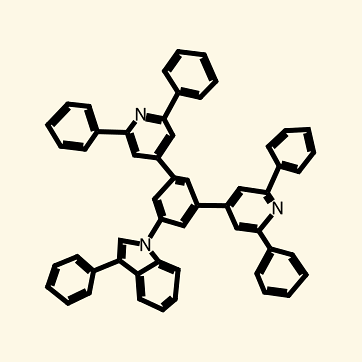 c1ccc(-c2cc(-c3cc(-c4cc(-c5ccccc5)nc(-c5ccccc5)c4)cc(-n4cc(-c5ccccc5)c5ccccc54)c3)cc(-c3ccccc3)n2)cc1